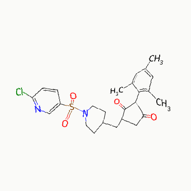 Cc1cc(C)c(C2C(=O)CC(CC3CCN(S(=O)(=O)c4ccc(Cl)nc4)CC3)C2=O)c(C)c1